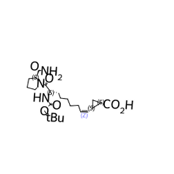 CC(C)(C)OC(=O)N[C@@H](CCCCC/C=C\[C@@H]1C[C@@H]1C(=O)O)C(=O)N1CCC[C@H]1C(N)=O